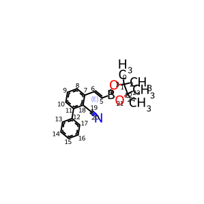 CC1(C)OB(/C=C/c2cccc(-c3ccccc3)c2C#N)OC1(C)C